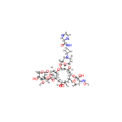 CO/N=C1\C[C@@H](C)O[C@@H](O[C@@H]2[C@@H](C)[C@H](O[C@H]3CC(C)N([C@H]4C[C@H](NC(=O)c5cnccn5)C4)C[C@H](C)O3)[C@@H](C)C(=O)O[C@H]([C@@H](C)COC3O[C@H](C)[C@@H](O)[C@@H](OC)[C@H]3OC)[C@H](C)[C@@H](OC(=O)CC(C)C)[C@@H](C)C(=O)[C@@](C)(O)C[C@@H]2C)[C@@H]1O